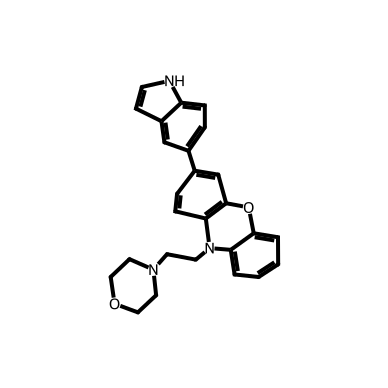 c1ccc2c(c1)Oc1cc(-c3ccc4[nH]ccc4c3)ccc1N2CCN1CCOCC1